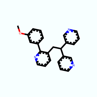 COc1cccc(-c2ncccc2CC(c2cccnc2)c2cccnc2)c1